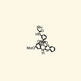 COc1cc(Nc2nc3ccccc3nc2NS(=O)(=O)c2cccc(NC(=O)CC(C)(C)C)c2)cc(OC)c1